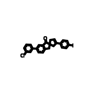 O=C1c2cc(-c3cccc(Cl)c3)ccc2CC12CC=C(c1ccc(I)cc1)C2